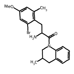 COc1cc(C)c(CC(N)C(=O)N2CC(C)Cc3ccccc32)c(Br)c1